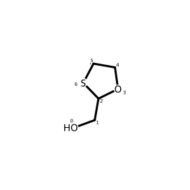 OCC1OC[CH]S1